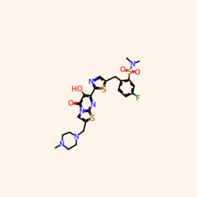 CN1CCN(Cc2cn3c(=O)c(O)c(-c4ncc(Cc5ccc(F)cc5S(=O)(=O)N(C)C)s4)nc3s2)CC1